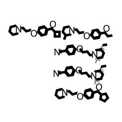 CCC(=O)c1ccc(OCCCN2CCCC(C)C2)cc1.CC[C@@H]1CC[C@H](C)N(CCCOc2ccc(C#N)cc2)C1.CC[C@H]1CC[C@H](C)N(CCCOc2ccc(C#N)cc2)C1.O=C(c1ccc(OCCCN2CCCCC2)cc1)C1CCC1.O=C(c1ccc(OCCCN2CCCCC2)cc1)C1CCCC1